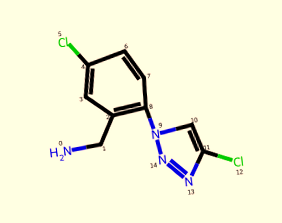 NCc1cc(Cl)ccc1-n1cc(Cl)nn1